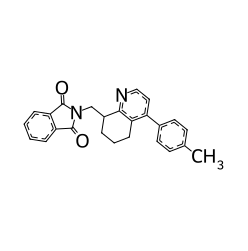 Cc1ccc(-c2ccnc3c2CCCC3CN2C(=O)c3ccccc3C2=O)cc1